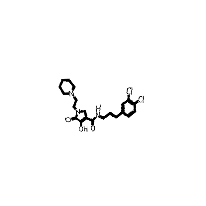 O=C(NCCCc1ccc(Cl)c(Cl)c1)C1=C(O)C(=O)N(CCN2CCCCC2)C1